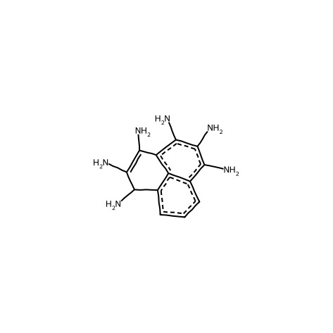 NC1=C(N)C(N)c2cccc3c(N)c(N)c(N)c1c23